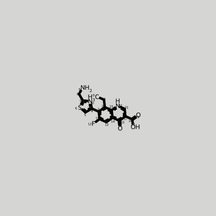 CCc1c(-c2csc(CN)n2)c(F)cc2c(=O)c(C(=O)O)c[nH]c12